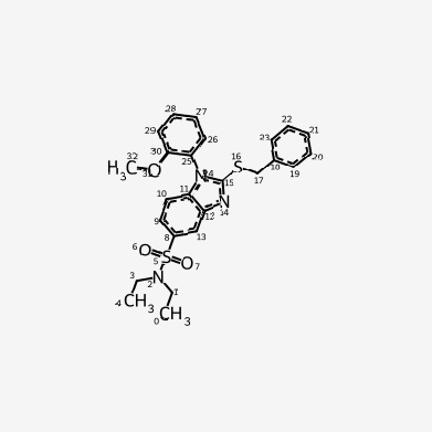 CCN(CC)S(=O)(=O)c1ccc2c(c1)nc(SCc1ccccc1)n2-c1ccccc1OC